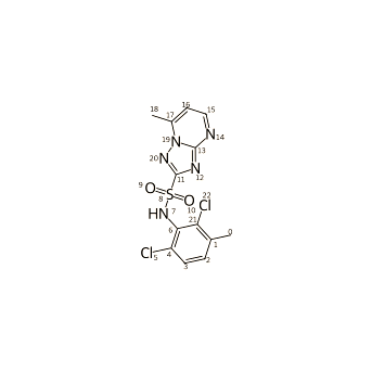 Cc1ccc(Cl)c(NS(=O)(=O)c2nc3nccc(C)n3n2)c1Cl